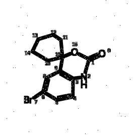 O=C1Nc2ccc(Br)cc2C2(CCCCC2)O1